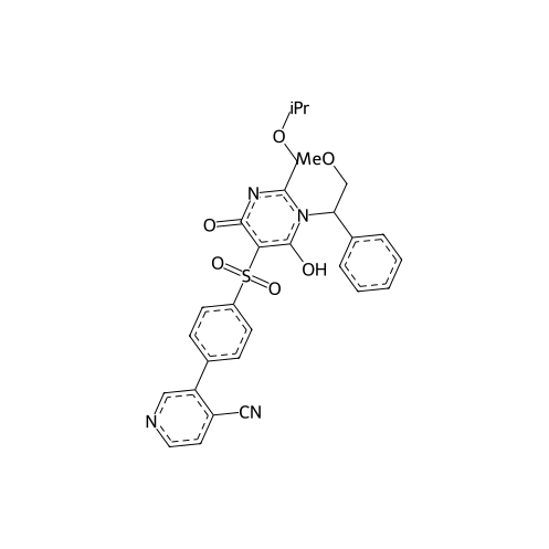 COCC(c1ccccc1)n1c(COC(C)C)nc(=O)c(S(=O)(=O)c2ccc(-c3cnccc3C#N)cc2)c1O